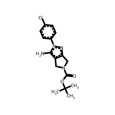 CC(C)(C)OC(=O)N1Cc2nn(-c3ccc(Cl)cc3)c(N)c2C1